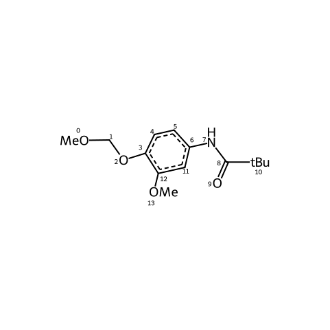 COCOc1ccc(NC(=O)C(C)(C)C)cc1OC